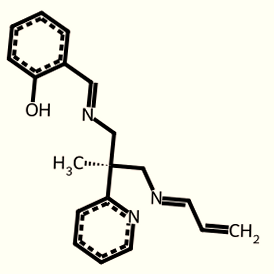 C=C/C=N/C[C@](C)(C/N=C/c1ccccc1O)c1ccccn1